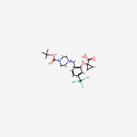 CC(C)(C)OC(=O)N1CCN(Cc2ccc(C(F)(F)F)cc2OC2(C(=O)O)CC2)CC1